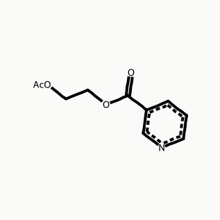 CC(=O)OCCOC(=O)c1cccnc1